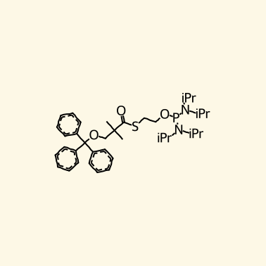 CC(C)N(C(C)C)P(OCCSC(=O)C(C)(C)COC(c1ccccc1)(c1ccccc1)c1ccccc1)N(C(C)C)C(C)C